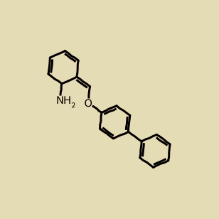 NC1C=CC=CC1=COc1ccc(-c2ccccc2)cc1